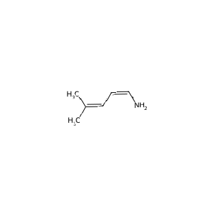 CC(C)=C/C=C\N